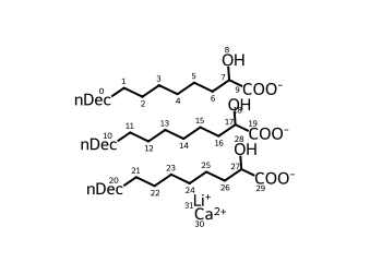 CCCCCCCCCCCCCCCCC(O)C(=O)[O-].CCCCCCCCCCCCCCCCC(O)C(=O)[O-].CCCCCCCCCCCCCCCCC(O)C(=O)[O-].[Ca+2].[Li+]